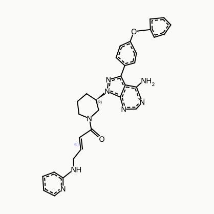 Nc1ncnc2c1c(-c1ccc(Oc3ccccc3)cc1)nn2[C@@H]1CCCN(C(=O)/C=C/CNc2ccccn2)C1